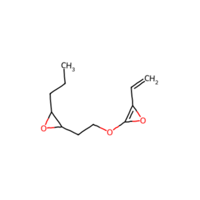 C=CC1=C(OCCC2OC2CCC)O1